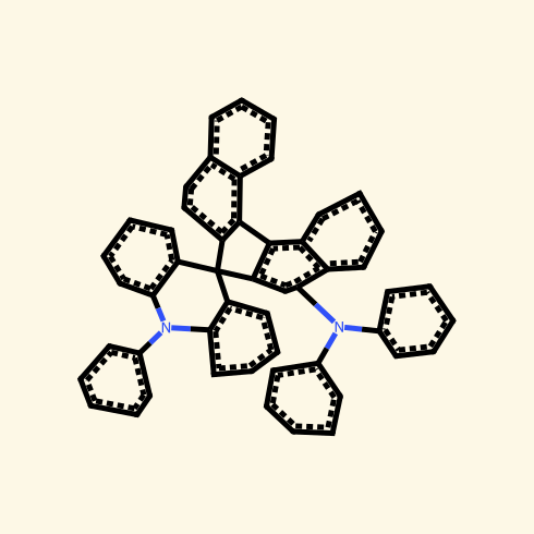 c1ccc(N2c3ccccc3C3(c4ccccc42)c2ccc4ccccc4c2-c2c3cc(N(c3ccccc3)c3ccccc3)c3ccccc23)cc1